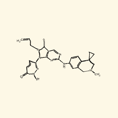 C=CCn1c(=O)c2cnc(Nc3ccc4c(c3)CN(C)CC43CC3)nc2n1-c1ccc(=O)n(C(C)C)n1